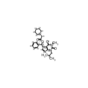 CC(C)Cn1c(=O)n(C)c(=O)c2c1ncn2C(OC(=O)CN1CCCCC1)c1ccccc1